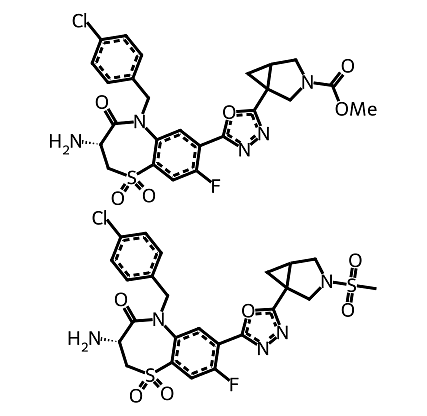 COC(=O)N1CC2CC2(c2nnc(-c3cc4c(cc3F)S(=O)(=O)C[C@H](N)C(=O)N4Cc3ccc(Cl)cc3)o2)C1.CS(=O)(=O)N1CC2CC2(c2nnc(-c3cc4c(cc3F)S(=O)(=O)C[C@H](N)C(=O)N4Cc3ccc(Cl)cc3)o2)C1